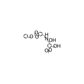 CC(=O)Oc1ccc([C@@H](O)CNCCc2ccc3c(c2)O[C@H](COCc2ccccc2)CO3)cc1CO